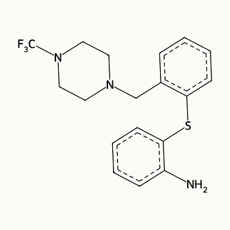 Nc1ccccc1Sc1ccccc1CN1CCN(C(F)(F)F)CC1